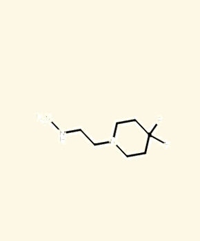 NNCCN1CCC(F)(F)CC1